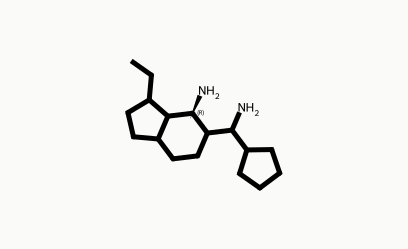 CCC1CCC2CCC(C(N)C3CCCC3)[C@H](N)C12